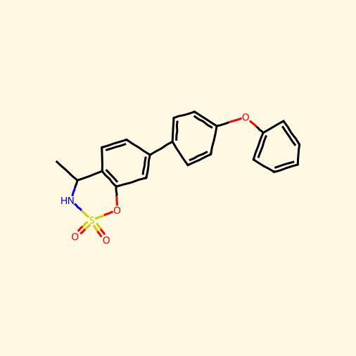 CC1NS(=O)(=O)Oc2cc(-c3ccc(Oc4ccccc4)cc3)ccc21